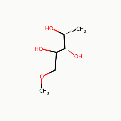 COCC(O)[C@@H](O)[C@@H](C)O